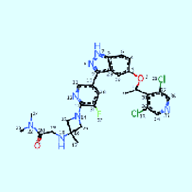 C[C@@H](Oc1ccc2[nH]nc(-c3cnc(N4CC(C)(NCC(=O)N(C)C)C4)c(F)c3)c2c1)c1c(Cl)cncc1Cl